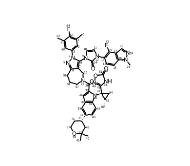 Cc1cc(-n2nc3c(c2-n2ccn(-c4ccc5c(cnn5C)c4F)c2=O)CN(C(=O)c2cc4cc([C@H]5CCOC(C)(C)C5)ccc4n2[C@@]2(c4noc(=O)[nH]4)C[C@@H]2C)CCC3)cc(C)c1F